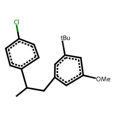 COc1cc(CC(C)c2ccc(Cl)cc2)cc(C(C)(C)C)c1